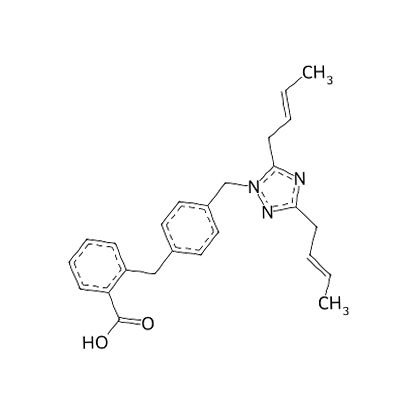 CC=CCc1nc(CC=CC)n(Cc2ccc(Cc3ccccc3C(=O)O)cc2)n1